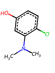 CN(C)c1cc(O)ccc1Cl